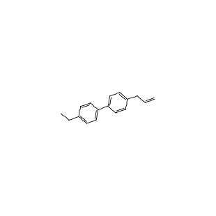 C=CCc1ccc(-c2ccc(CC)cc2)cc1